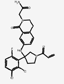 C=CC(=O)N1CCC(Nc2ccc3c(c2)C(=O)N(CC(N)=O)CC3)(c2c(F)ccc(Cl)c2Cl)C1